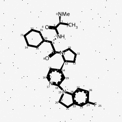 CN[C@@H](C)C(=O)N[C@H](C(=O)N1CCC[C@H]1c1ccnc(N2CCc3cc(F)ccc32)c1)C1CCCCC1